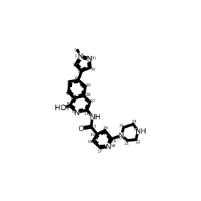 Cn1cc(-c2ccc3c(O)nc(NC(=O)c4ccnc(N5CCNCC5)c4)cc3c2)cn1